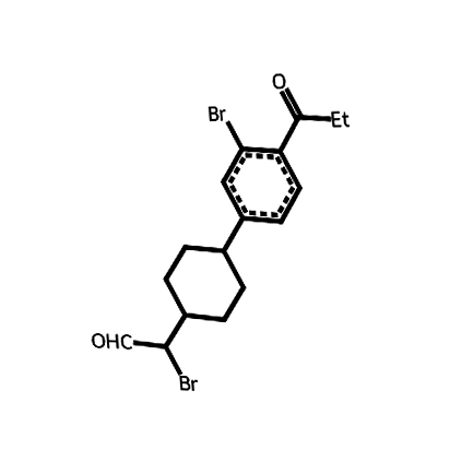 CCC(=O)c1ccc(C2CCC(C(Br)C=O)CC2)cc1Br